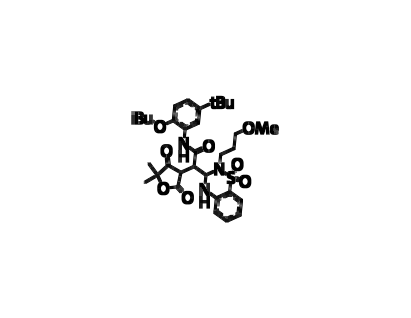 CCC(C)Oc1ccc(C(C)(C)C)cc1NC(=O)C(C1C(=O)OC(C)(C)C1=O)C1Nc2ccccc2S(=O)(=O)N1CCCOC